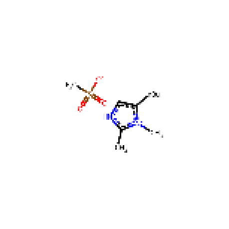 CCCCc1c[nH]c(C)[n+]1C.O=S(=O)([O-])C(F)(F)F